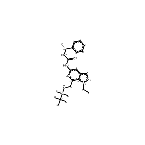 CCn1ncc2cc(NC(=O)N[C@H](C)c3ccccc3)nc(CO[Si](C)(C)C(C)(C)C)c21